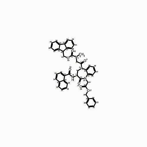 CN(CC(=O)N1C[C@H](NC(=O)c2cccc3ccccc23)C(=O)N(CC(=O)OCc2ccccc2)c2ccccc21)C(=O)OCC1c2ccccc2-c2ccccc21